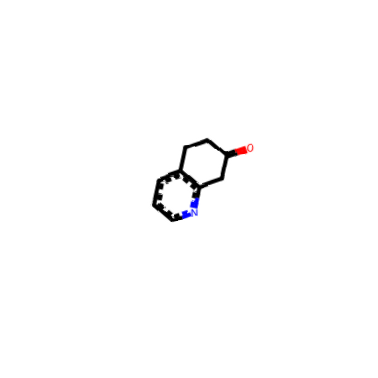 O=C1CCc2cccnc2C1